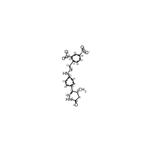 CC1CC(=O)NN=C1c1ccc(NN=Cc2ccc([N+](=O)[O-])cc2[N+](=O)[O-])cc1